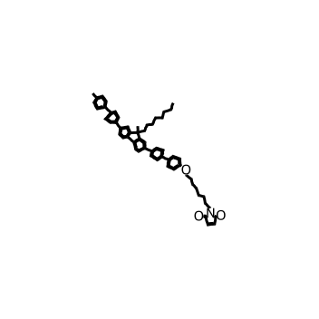 CCCCCCCCC1(C)c2cc(-c3ccc(-c4ccc(C)cc4)cc3)ccc2-c2ccc(-c3ccc(-c4ccc(OCCCCCCCCN5C(=O)C=CC5=O)cc4)cc3)cc21